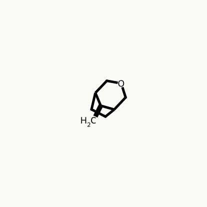 C=C1C2CCC1COC2